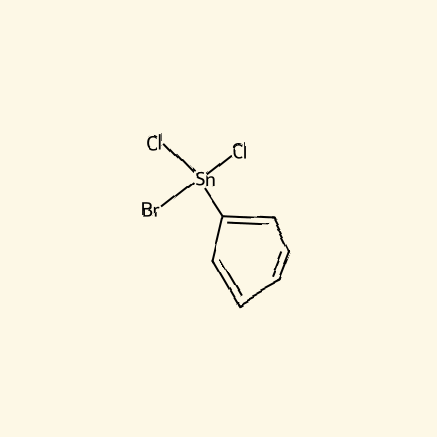 [Cl][Sn]([Cl])([Br])[c]1ccccc1